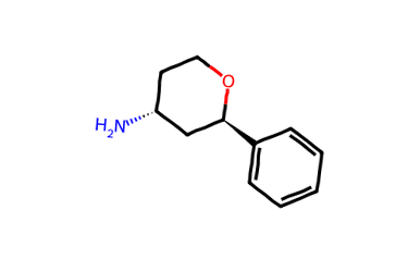 N[C@@H]1CCO[C@@H](c2ccccc2)C1